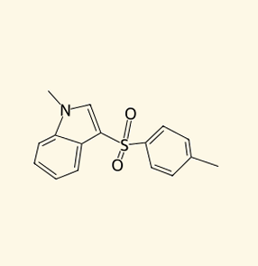 Cc1ccc(S(=O)(=O)c2cn(C)c3ccccc23)cc1